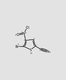 N#Cc1cc([N+](=O)[O-])c(Br)s1